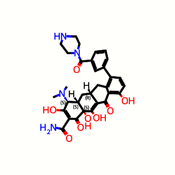 CN(C)[C@@H]1C(O)=C(C(N)=O)C(=O)[C@@]2(O)C(O)=C3C(=O)c4c(O)ccc(-c5cccc(C(=O)N6CCNCC6)c5)c4C[C@H]3C[C@@H]12